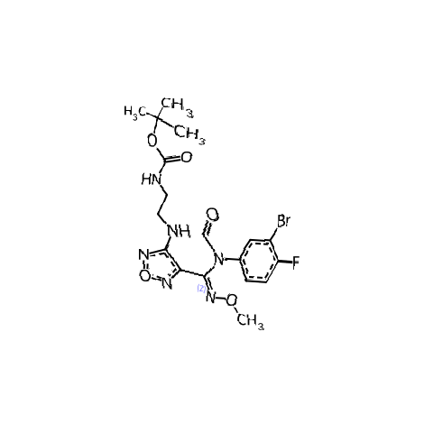 CO/N=C(/c1nonc1NCCNC(=O)OC(C)(C)C)N(C=O)c1ccc(F)c(Br)c1